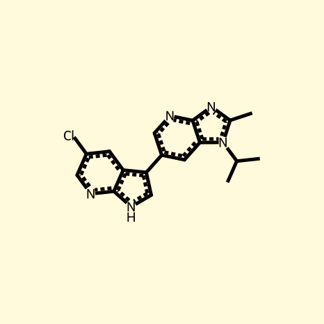 Cc1nc2ncc(-c3c[nH]c4ncc(Cl)cc34)cc2n1C(C)C